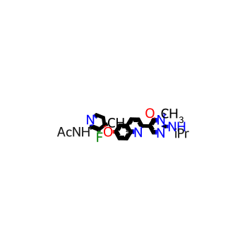 CC(=O)NC1=C(F)C(C)(Oc2ccc3nc(-c4cnc(NC(C)C)n(C)c4=O)ccc3c2)CC=N1